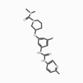 Cc1ccc(NC(=O)Nc2cc(F)cc(OC3CCCN(C(=O)N(C)C)C3)c2)cn1